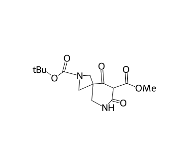 COC(=O)C1C(=O)NCC2(CN(C(=O)OC(C)(C)C)C2)C1=O